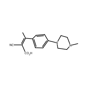 CC(=C(C#N)C(=O)O)c1ccc(N2CCN(C)CC2)cc1